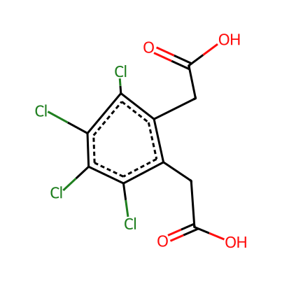 O=C(O)Cc1c(Cl)c(Cl)c(Cl)c(Cl)c1CC(=O)O